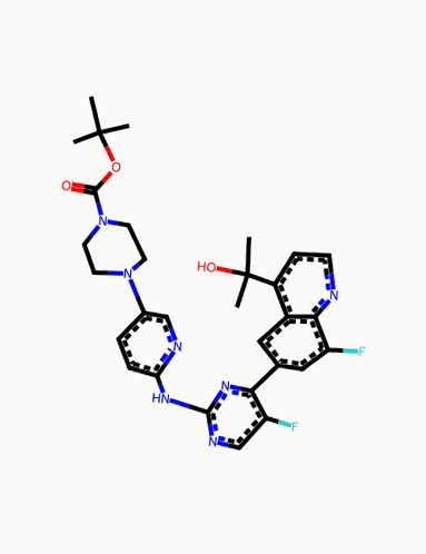 CC(C)(C)OC(=O)N1CCN(c2ccc(Nc3ncc(F)c(-c4cc(F)c5nccc(C(C)(C)O)c5c4)n3)nc2)CC1